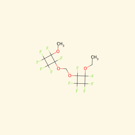 CCOC1(F)C(F)(F)C(F)(F)C1(F)OCOC1(F)C(F)(F)C(F)(F)C1(F)OC